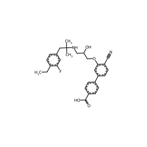 CCc1ccc(CC(C)(C)NCC(O)COc2cc(-c3ccc(C(=O)O)cc3)ccc2C#N)cc1F